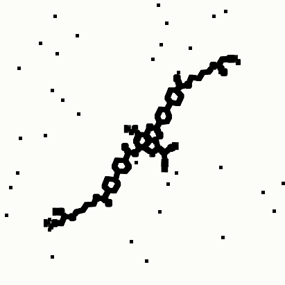 C=CC(=O)OCCCCOC(=O)C1CCC(C2CCC(C(=O)Oc3c(C)cc(OC(=O)C4CCC(C5CCC(C(=O)OCCCCOC(O)C=C)CC5)CC4)c4c3SC(=C(C#N)C#N)S4)CC2)CC1